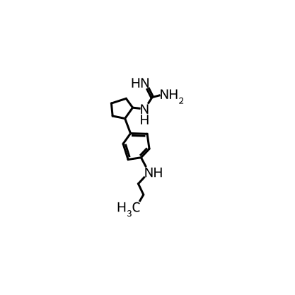 CCCNc1ccc(C2CCCC2NC(=N)N)cc1